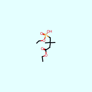 CCOC(=O)CC(C)(C)CP(=O)(O)OCC